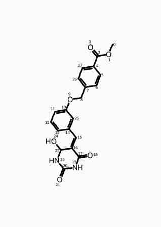 COC(=O)c1ccc(COc2cccc(/C=C3/C(=O)NC(=O)NC3O)c2)cc1